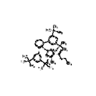 CCOC(=O)c1sc(-c2c(-c3cc(C(C)(C)C)cc(C(C)(C)C)c3)cccc2-c2cc(C(C)(C)C)cc(C(C)(C)C)c2)nc1C